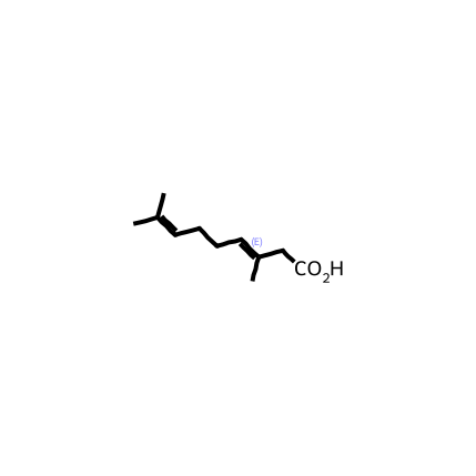 CC(C)=CCC/C=C(\C)CC(=O)O